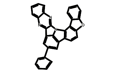 c1ccc(-c2cc3c4ccc5oc6ccccc6c5c4n4c5nc6ccccc6nc5c(c2)c34)cc1